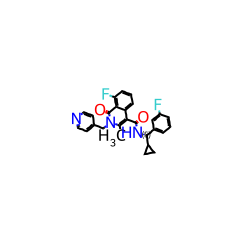 Cc1c(C(=O)N[C@H](c2cccc(F)c2)C2CC2)c2cccc(F)c2c(=O)n1Cc1ccncc1